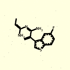 C=C(/C(N)=N\C(N)=C/C)c1csc2ccc(F)cc12